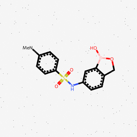 CNc1ccc(S(=O)(=O)Nc2ccc3c(c2)B(O)OC3)cc1